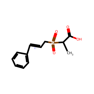 CC(C(=O)O)S(=O)(=O)C/C=C/c1ccccc1